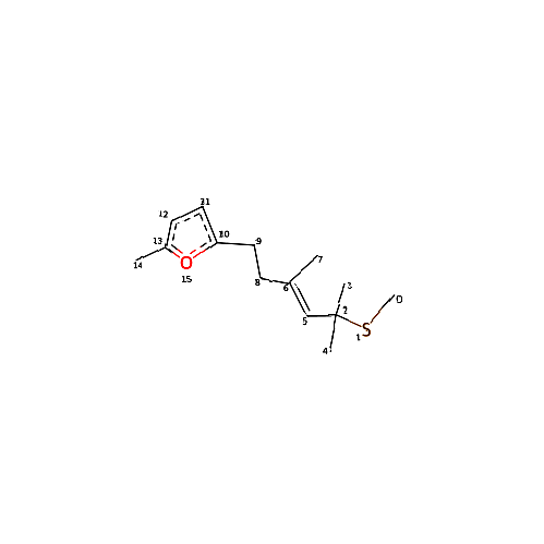 CSC(C)(C)/C=C(\C)CCc1ccc(C)o1